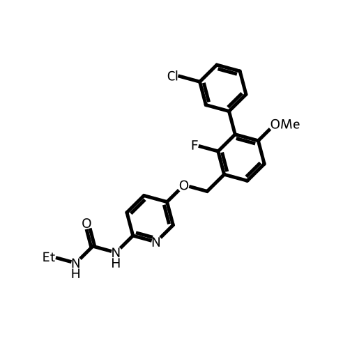 CCNC(=O)Nc1ccc(OCc2ccc(OC)c(-c3cccc(Cl)c3)c2F)cn1